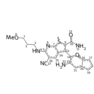 COCCCNc1nc2sc(C(N)=O)c(-c3oc4cccc-4cc3N)c2cc1C#N